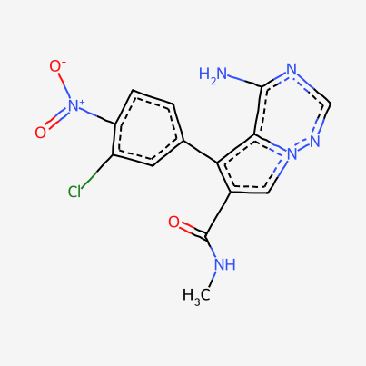 CNC(=O)c1cn2ncnc(N)c2c1-c1ccc([N+](=O)[O-])c(Cl)c1